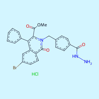 COC(=O)c1c(-c2ccccc2)c2cc(Br)ccc2c(=O)n1Cc1ccc(C(=O)NN)cc1.Cl